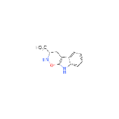 O=C(O)C1Cc2c([nH]c3ccccc23)ON1